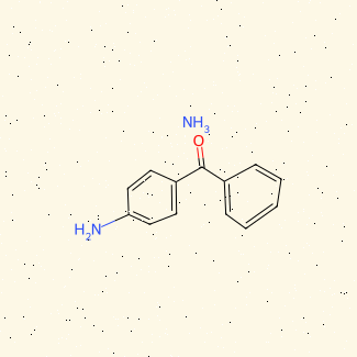 N.Nc1ccc(C(=O)c2ccccc2)cc1